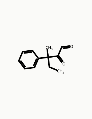 CCC(C)(C(=O)C=O)c1ccccc1